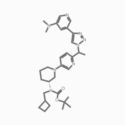 CC(c1ccc(N2CCC[C@@H](N(CC3CCC3)C(=O)OC(C)(C)C)C2)cn1)n1cc(-c2cncc(N(C)C)c2)nn1